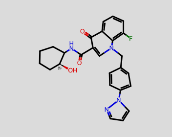 O=C(NC1CCCC[C@@H]1O)c1cn(Cc2ccc(-n3cccn3)cc2)c2c(F)cccc2c1=O